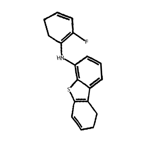 FC1=C(Nc2cccc3c4c(sc23)C=CCC4)CCC=C1